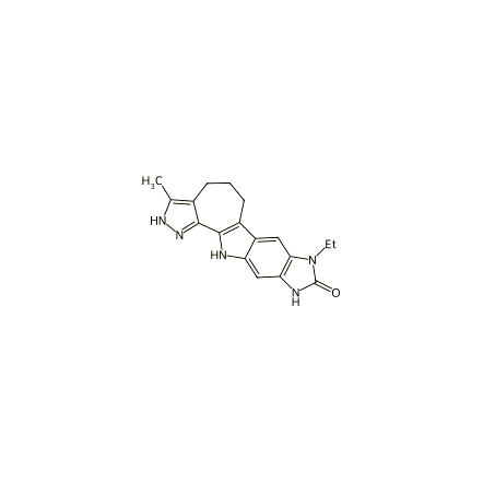 CCn1c(=O)[nH]c2cc3[nH]c4c(c3cc21)CCCc1c-4n[nH]c1C